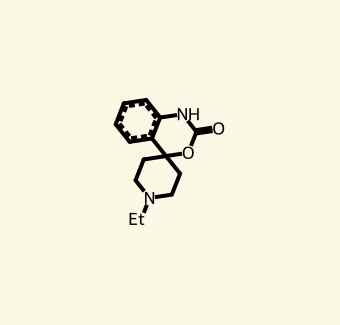 CCN1CCC2(CC1)OC(=O)Nc1ccccc12